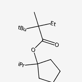 CCC(C)(C(=O)OC1(C(C)C)CCCC1)C(C)(C)C